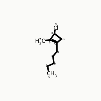 CCCCCC1=C(C)C(Cl)C1